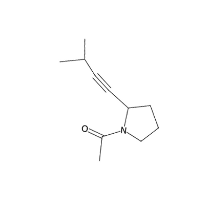 CC(=O)N1CCCC1C#CC(C)C